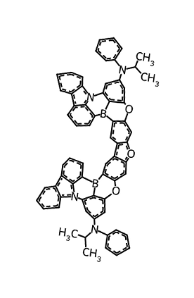 CC(C)N(c1ccccc1)c1cc2c3c(c1)-n1c4ccccc4c4cccc(c41)B3c1cc3c(cc1O2)oc1cc2c(cc13)B1c3c(cc(N(c4ccccc4)C(C)C)cc3-n3c4ccccc4c4cccc1c43)O2